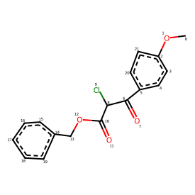 COc1ccc(C(=O)C(Cl)C(=O)OCc2ccccc2)cc1